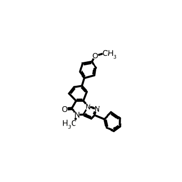 COc1ccc(-c2ccc3c(=O)n(C)c4cc(-c5ccccc5)nn4c3c2)cc1